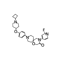 O=C1COC2(CCN(c3ccc(OC4CCN(C5CCC5)CC4)cc3)CC2)CN1c1ccnc(F)c1